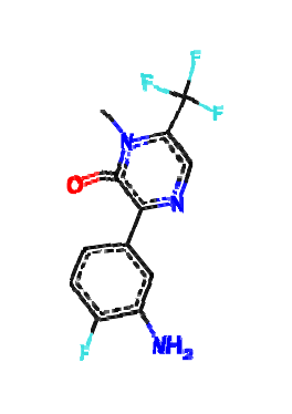 Cn1c(C(F)(F)F)cnc(-c2ccc(F)c(N)c2)c1=O